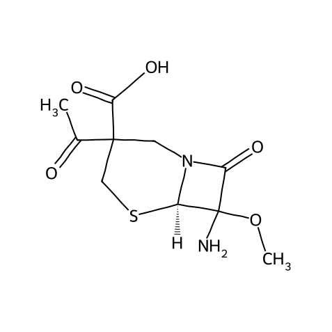 COC1(N)C(=O)N2CC(C(C)=O)(C(=O)O)CS[C@@H]21